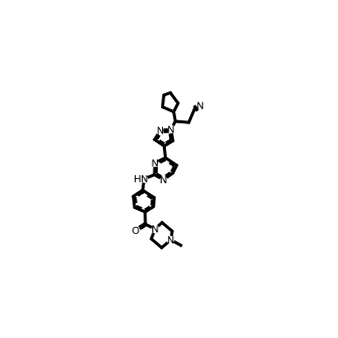 CN1CCN(C(=O)c2ccc(Nc3nccc(-c4cnn(C(CC#N)C5CCCC5)c4)n3)cc2)CC1